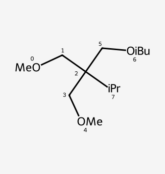 COCC(COC)(COCC(C)C)C(C)C